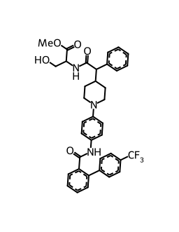 COC(=O)C(CO)NC(=O)C(c1ccccc1)C1CCN(c2ccc(NC(=O)c3ccccc3-c3ccc(C(F)(F)F)cc3)cc2)CC1